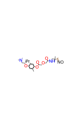 Cc1cc(OCCN(C)C)c(C(C)C)cc1OC(=O)COCC(=O)NCC(C)(C)SN=O